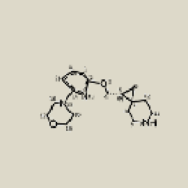 c1cc(OC[C@@H]2CC23CCNCC3)nc(N2CCOCC2)c1